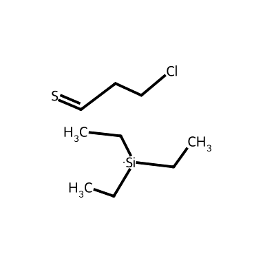 CC[Si](CC)CC.S=CCCCl